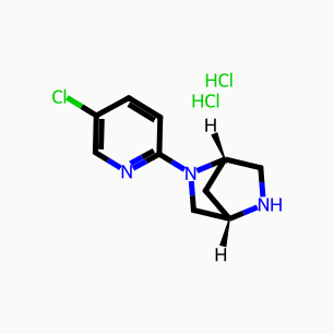 Cl.Cl.Clc1ccc(N2C[C@@H]3C[C@H]2CN3)nc1